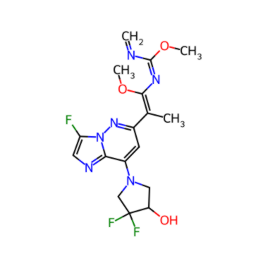 C=N/C(=N\C(OC)=C(/C)c1cc(N2CC(O)C(F)(F)C2)c2ncc(F)n2n1)OC